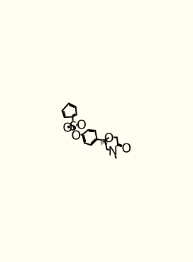 CN1C[C@@H](c2ccc(OS(=O)(=O)c3ccccc3)cc2)OCC1=O